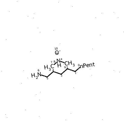 CCCCCCCCCCN.C[NH+](C)[O-]